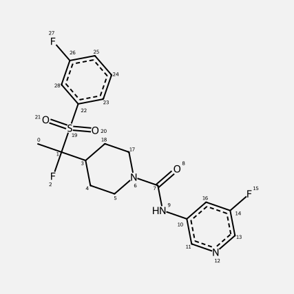 CC(F)(C1CCN(C(=O)Nc2cncc(F)c2)CC1)S(=O)(=O)c1cccc(F)c1